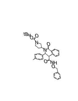 Cc1ccc(C2C(C(=O)NOCc3ccccc3)c3ccccc3C(=O)N2C2CCN(C(=O)OC(C)(C)C)C2)cc1